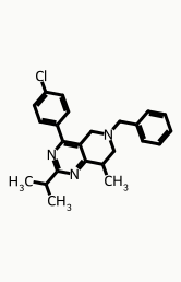 CC(C)c1nc(-c2ccc(Cl)cc2)c2c(n1)C(C)CN(Cc1ccccc1)C2